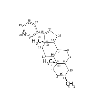 C[C@H]1CC[C@@]2(C)C(CCC3C2CC[C@]2(C)C(c4cccnc4)=CCC32)C1